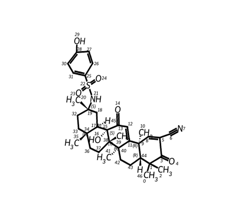 CC1(C)C(=O)C(C#N)=C[C@]2(C)C3=CC(=O)[C@]4(O)[C@@H]5C[C@@](C)(NS(=O)(=O)c6ccc(O)cc6)CC[C@@]5(C)CC[C@@]4(C)[C@]3(C)CC[C@@H]12